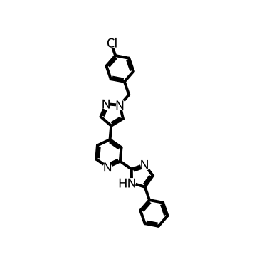 Clc1ccc(Cn2cc(-c3ccnc(-c4ncc(-c5ccccc5)[nH]4)c3)cn2)cc1